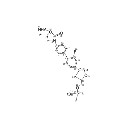 CC(=O)NC[C@H]1CN(c2ccc(-c3ccc(C4=NOC(CO[Si](C)(C)C(C)(C)C)C4)cc3F)cc2)C(=O)O1